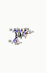 CCCCN(C)C(=S)[S-].CCCCN(C)C(=S)[S-].CCCN(C)C(=S)[S-].CCCN(C)C(=S)[S-].[Cu+2].[Cu+2]